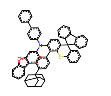 c1ccc(-c2ccc(N(c3ccc4c(c3)oc3ccccc34)c3ccc4c(c3-c3ccc(C56CC7CC(CC(C7)C5)C6)cc3)Sc3ccccc3C43c4ccccc4-c4ccccc43)cc2)cc1